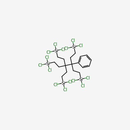 Cl[Si](Cl)(Cl)CCC(CC[Si](Cl)(Cl)Cl)(CC[Si](Cl)(Cl)Cl)C(CC[Si](Cl)(Cl)Cl)(CC[Si](Cl)(Cl)Cl)c1ccccc1